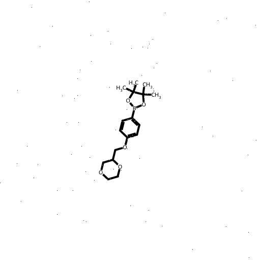 CC1(C)OB(c2ccc(OCC3COCCO3)cc2)OC1(C)C